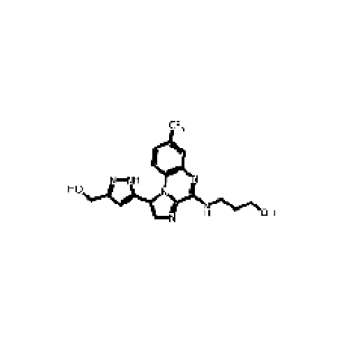 OCCCNC1=Nc2cc(C(F)(F)F)ccc2N2C1=NCC2c1cc(CO)n[nH]1